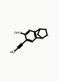 CC(C)(C)C#Cc1cc2c(cc1C=O)C1CCC2C1